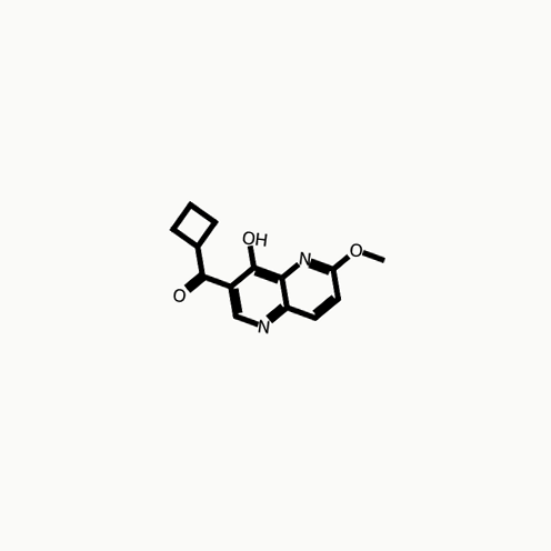 COc1ccc2ncc(C(=O)C3CCC3)c(O)c2n1